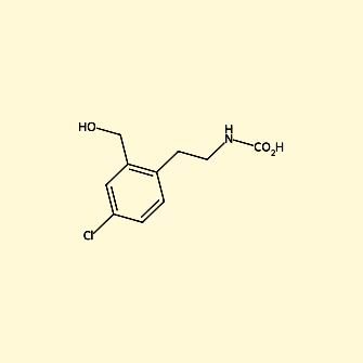 O=C(O)NCCc1ccc(Cl)cc1CO